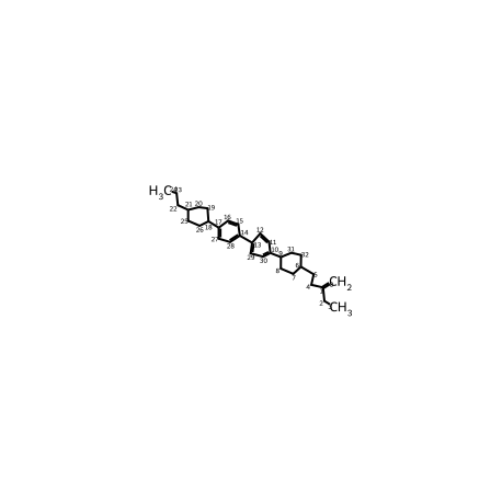 C=C(CC)CCC1CCC(c2ccc(-c3ccc(C4CCC(CCC)CC4)cc3)cc2)CC1